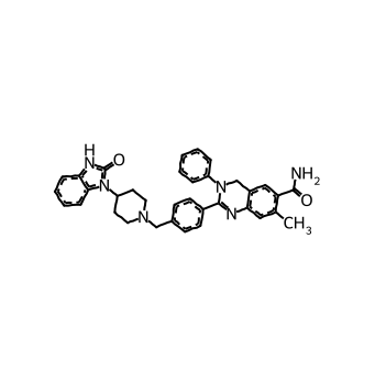 Cc1cc2c(cc1C(N)=O)CN(c1ccccc1)C(c1ccc(CN3CCC(n4c(=O)[nH]c5ccccc54)CC3)cc1)=N2